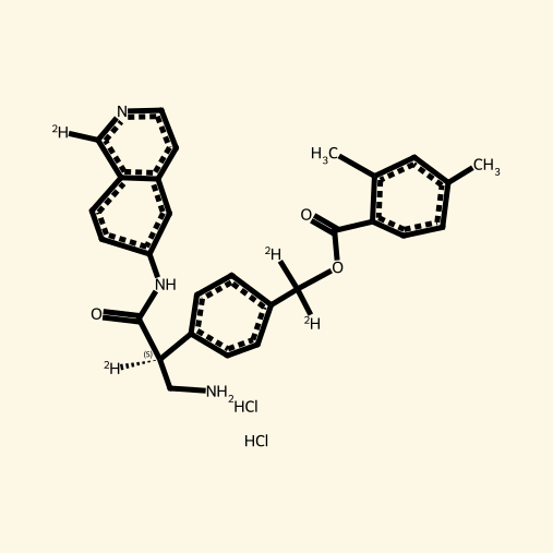 Cl.Cl.[2H]c1nccc2cc(NC(=O)[C@]([2H])(CN)c3ccc(C([2H])([2H])OC(=O)c4ccc(C)cc4C)cc3)ccc12